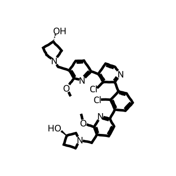 COc1nc(-c2cccc(-c3nccc(-c4ccc(CN5CC[C@H](O)C5)c(OC)n4)c3Cl)c2Cl)ccc1CN1CC[C@@H](O)C1